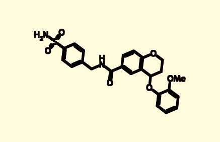 COc1ccccc1OC1CCOc2ccc(C(=O)NCc3ccc(S(N)(=O)=O)cc3)cc21